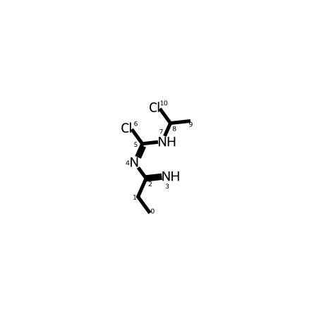 CCC(=N)/N=C(/Cl)NC(C)Cl